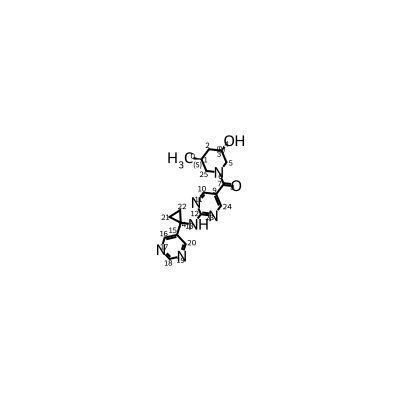 C[C@H]1C[C@@H](O)CN(C(=O)c2cnc(NC3(c4cncnc4)CC3)nc2)C1